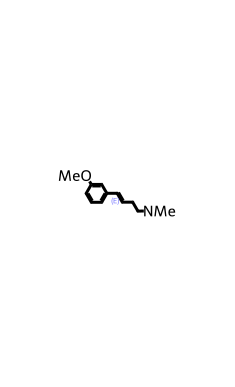 CNCC/C=C/c1cccc(OC)c1